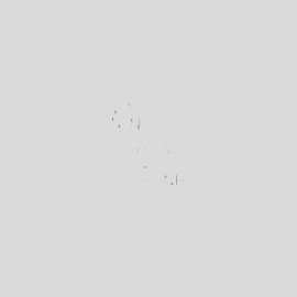 c1cnn(-c2ccc3c(c2)OCCN3)c1